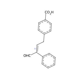 O=C/C(=C/Cc1ccc(C(=O)O)cc1)c1ccccc1